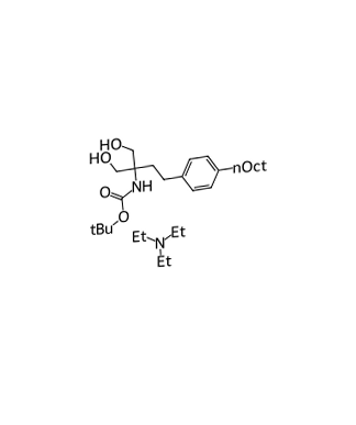 CCCCCCCCc1ccc(CCC(CO)(CO)NC(=O)OC(C)(C)C)cc1.CCN(CC)CC